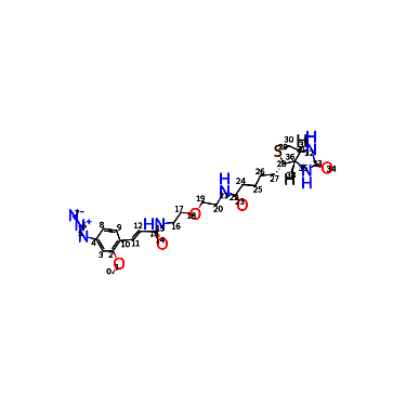 COc1cc(N=[N+]=[N-])ccc1/C=C/C(=O)NCCOCCNC(=O)CCCC[C@@H]1SC[C@@H]2NC(=O)N[C@@H]21